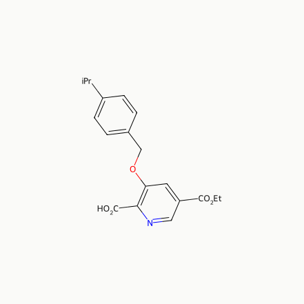 CCOC(=O)c1cnc(C(=O)O)c(OCc2ccc(C(C)C)cc2)c1